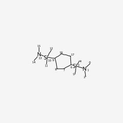 CN(C)[Si](C)(C)C1CCC([Si](C)(C)N(C)C)CC1